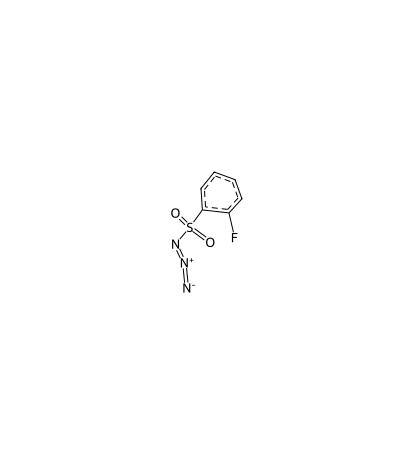 [N-]=[N+]=NS(=O)(=O)c1ccccc1F